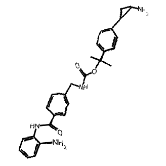 CC(C)(OC(=O)NCc1ccc(C(=O)Nc2ccccc2N)cc1)c1ccc(C2CC2N)cc1